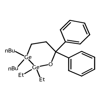 CCC[CH2][Ge]1([CH2]CCC)[CH2]CC(c2ccccc2)(c2ccccc2)[O][Ge]1([CH2]C)[CH2]C